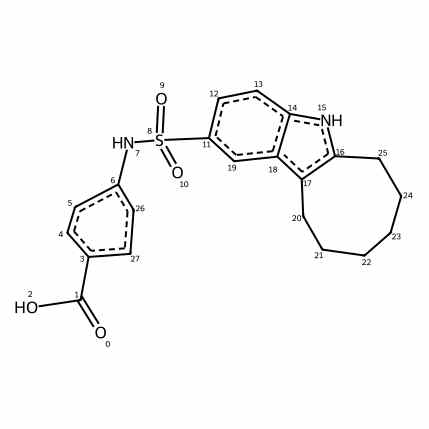 O=C(O)c1ccc(NS(=O)(=O)c2ccc3[nH]c4c(c3c2)CCCCCC4)cc1